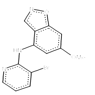 COc1cc(Nc2ncccc2Br)c2cnoc2c1